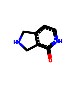 O=c1[nH]ccc2c1CNC2